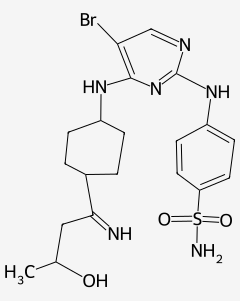 CC(O)CC(=N)C1CCC(Nc2nc(Nc3ccc(S(N)(=O)=O)cc3)ncc2Br)CC1